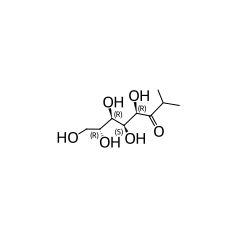 CC(C)C(=O)[C@H](O)[C@@H](O)[C@H](O)[C@H](O)CO